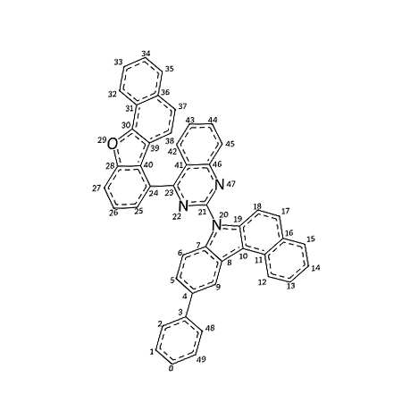 c1ccc(-c2ccc3c(c2)c2c4ccccc4ccc2n3-c2nc(-c3cccc4oc5c6ccccc6ccc5c34)c3ccccc3n2)cc1